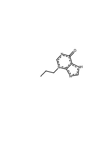 CCCn1cnc(=O)c2[nH]cnc21